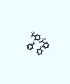 O=C(O)c1ccccc1OCc1ccccc1.O=C(O)c1ccccc1Oc1ccccc1